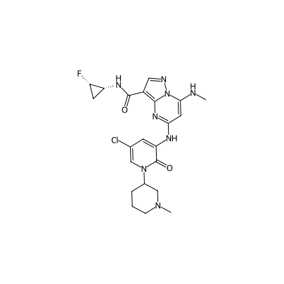 CNc1cc(Nc2cc(Cl)cn(C3CCCN(C)C3)c2=O)nc2c(C(=O)N[C@@H]3C[C@@H]3F)cnn12